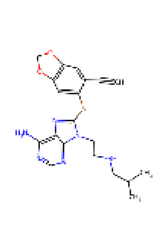 C#Cc1cc2c(cc1Sc1nc3c(N)ncnc3n1CCNCC(C)C)OCO2